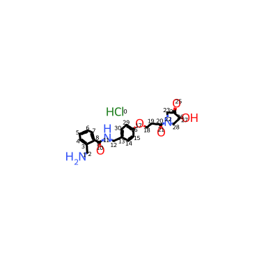 Cl.NCc1ccccc1C(=O)NCc1ccc(OCCC(=O)N2CC(=O)C(O)C2)cc1